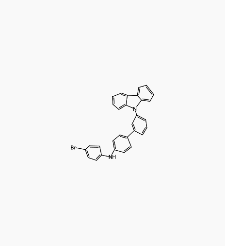 Brc1ccc(Nc2ccc(-c3cccc(-n4c5ccccc5c5ccccc54)c3)cc2)cc1